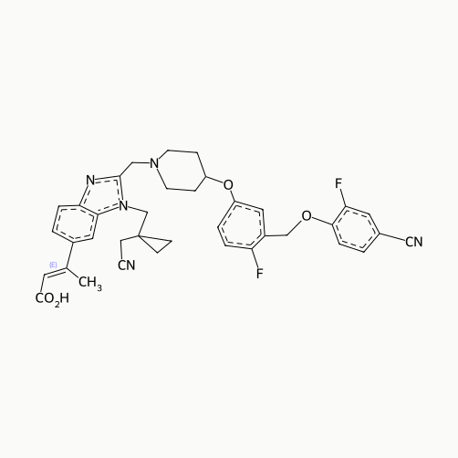 C/C(=C\C(=O)O)c1ccc2nc(CN3CCC(Oc4ccc(F)c(COc5ccc(C#N)cc5F)c4)CC3)n(CC3(CC#N)CC3)c2c1